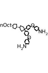 CCCCCCCC[C@H]1CC[C@@H](C2CCC(c3ccc(Oc4ccc(N)cc4)cc3)(c3ccc(Oc4ccc(N)cc4)cc3)CC2)CC1